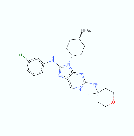 CC(=O)N[C@H]1CC[C@H](n2c(Nc3cccc(Cl)c3)nc3cnc(NC4(C)CCOCC4)nc32)CC1